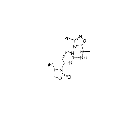 CC(C)c1noc([C@@H](C)Nc2nccc(N3C(=O)OCC3C(C)C)n2)n1